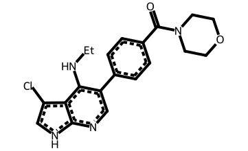 CCNc1c(-c2ccc(C(=O)N3CCOCC3)cc2)cnc2[nH]cc(Cl)c12